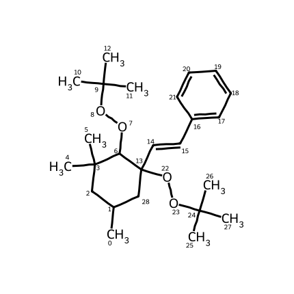 CC1CC(C)(C)C(OOC(C)(C)C)C(C=Cc2ccccc2)(OOC(C)(C)C)C1